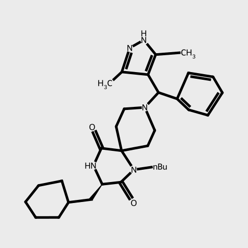 CCCCN1C(=O)[C@@H](CC2CCCCC2)NC(=O)C12CCN(C(c1ccccc1)c1c(C)n[nH]c1C)CC2